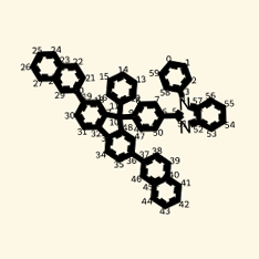 c1ccc(-n2c(-c3ccc(C4(c5ccccc5)c5cc(-c6ccc7ccccc7c6)ccc5-c5ccc(-c6ccc7ccccc7c6)cc54)cc3)nc3ccccc32)cc1